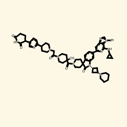 CC(C)n1cnc2cc(-c3ccc4c(c3)N([C@H]3C[C@@H](N5CCCCC5)C3)C(=O)C43CCN(C(=O)C4(C)CCN(C(=O)CN5CCC(c6ccc(C7CCC(=O)NC7=O)cn6)CC5)CC4)CC3)nc(NC3CC3)c21